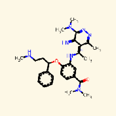 CNCCC(Oc1ccc(C(=O)N(C)C)cc1N/C(C)=C1\C(=N)C(N(C)C)=NN=C1C)c1ccccc1